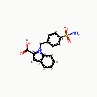 NS(=O)(=O)c1ccc(Cn2c(C(=O)O)cc3ccccc32)cc1